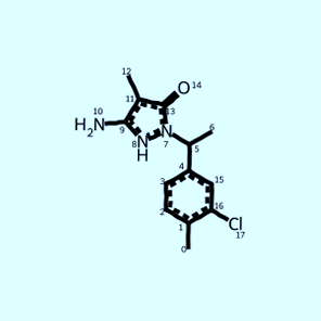 Cc1ccc(C(C)n2[nH]c(N)c(C)c2=O)cc1Cl